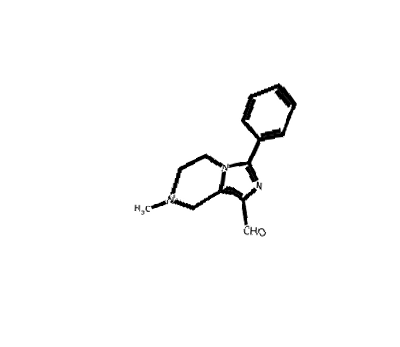 CN1CCn2c(-c3ccccc3)nc(C=O)c2C1